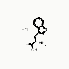 Cl.N[C@@H](Cc1csc2ccccc12)C(=O)O